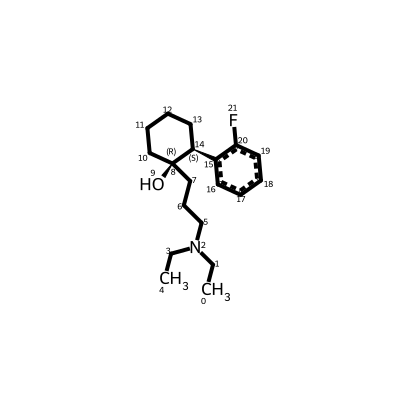 CCN(CC)CCC[C@]1(O)CCCC[C@H]1c1ccccc1F